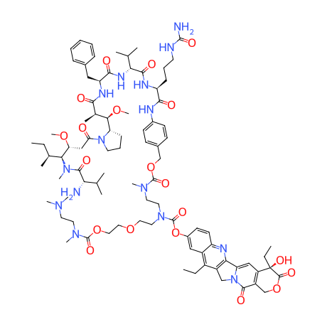 CCc1c2c(nc3ccc(OC(=O)N(CCOCCOC(=O)N(C)CCN(C)C)CCN(C)C(=O)OCc4ccc(NC(=O)[C@H](CCCNC(N)=O)NC(=O)[C@H](NC(=O)[C@H](Cc5ccccc5)NC(=O)[C@H](C)[C@@H](OC)[C@@H]5CCCN5C(=O)C[C@@H](OC)[C@H]([C@@H](C)CC)N(C)C(=O)[C@@H](N)C(C)C)C(C)C)cc4)cc13)-c1cc3c(c(=O)n1C2)COC(=O)[C@@]3(O)CC